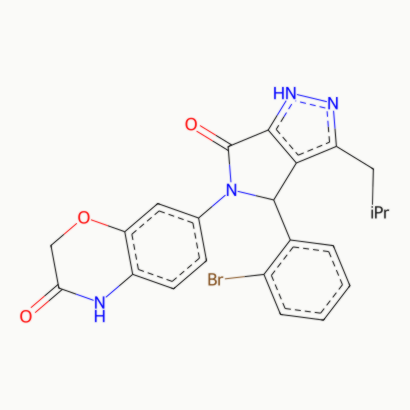 CC(C)Cc1n[nH]c2c1C(c1ccccc1Br)N(c1ccc3c(c1)OCC(=O)N3)C2=O